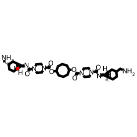 NCC1CC[C@H]2C(=NC(=O)N3CCN(C(=O)OC4CCCC(OC(=O)N5CCN(C(=O)N=C6[C@H]7C[C@@H](CN)CC[C@@H]67)CC5)CCC4)CC3)[C@@H]2C1